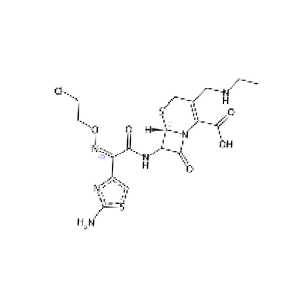 CCNCC1=C(C(=O)O)N2C(=O)C(NC(=O)/C(=N\OCCCl)c3csc(N)n3)[C@@H]2SC1